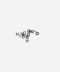 NC(=O)C(=O)C1CNc2ccc(C(=O)N3CCC(Cc4ccccc4)CC3)cc21